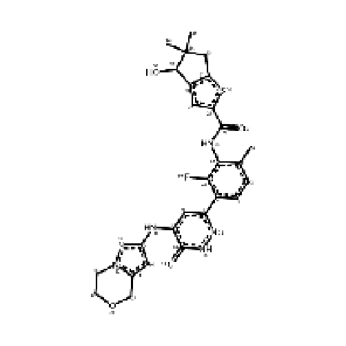 Cc1ccc(-c2cc(Nc3cc4n(n3)CCOC4)c(=O)[nH]n2)c(F)c1NC(=O)c1cc2c(s1)CC(C)(C)C2O